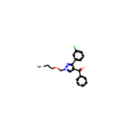 COCCOCn1cc(C(=O)c2ccccc2)c(-c2cccc(Cl)c2)n1